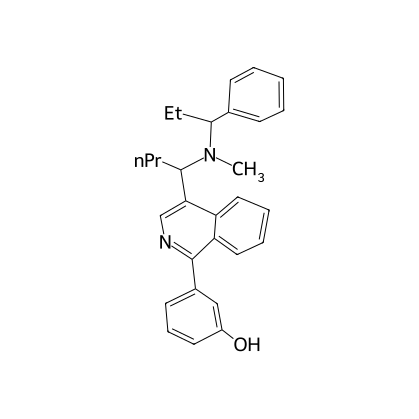 CCCC(c1cnc(-c2cccc(O)c2)c2ccccc12)N(C)C(CC)c1ccccc1